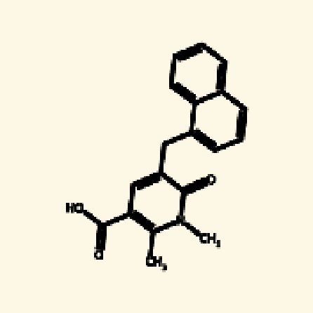 Cc1c(C(=O)O)cc(Cc2cccc3ccccc23)c(=O)n1C